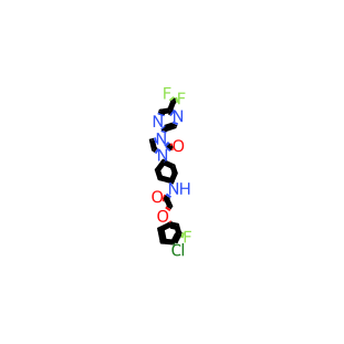 O=C(COc1ccc(Cl)c(F)c1)N[C@H]1CC[C@H](N2CCN(c3cnc(C(F)F)cn3)C2=O)CC1